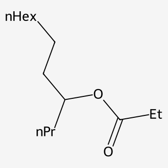 CCCCCCCCC(CCC)OC(=O)CC